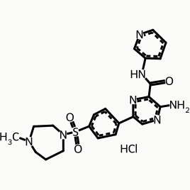 CN1CCCN(S(=O)(=O)c2ccc(-c3cnc(N)c(C(=O)Nc4cccnc4)n3)cc2)CC1.Cl